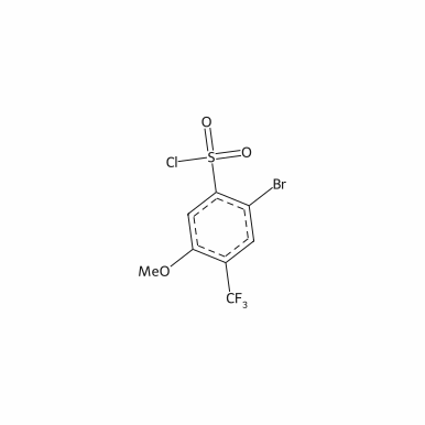 COc1cc(S(=O)(=O)Cl)c(Br)cc1C(F)(F)F